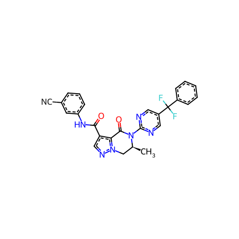 C[C@H]1Cn2ncc(C(=O)Nc3cccc(C#N)c3)c2C(=O)N1c1ncc(C(F)(F)c2ccccc2)cn1